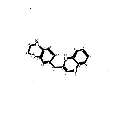 [CH](C1=COc2ccccc2O1)c1ccc2c(c1)OCCO2